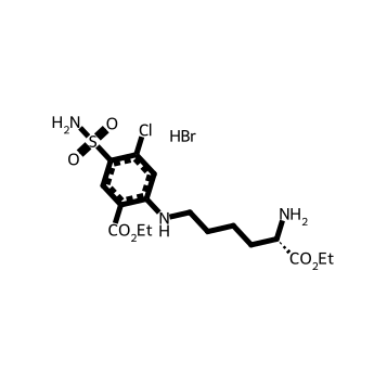 Br.CCOC(=O)c1cc(S(N)(=O)=O)c(Cl)cc1NCCCC[C@H](N)C(=O)OCC